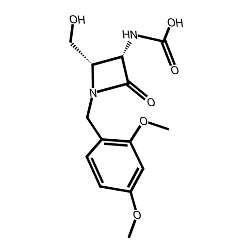 COc1ccc(CN2C(=O)[C@@H](NC(=O)O)[C@H]2CO)c(OC)c1